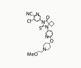 COCCN1CCC(Oc2ccc(N3C(=S)N(c4cnc(C#N)c(Cl)c4)C(=O)C34CCC4)cn2)CC1